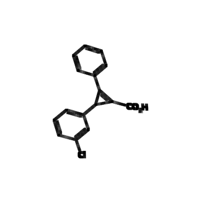 O=C(O)C1=C(c2ccccc2)C1c1cccc(Cl)c1